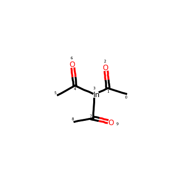 C[C](=O)[In]([C](C)=O)[C](C)=O